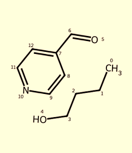 CCCCO.O=Cc1ccncc1